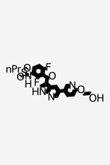 CCCS(=O)(=O)Nc1ccc(F)c(C(=O)c2c[nH]c3ncc(-c4ccc(OCCO)nc4)cc23)c1F